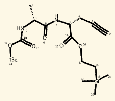 C#CC[C@@H](NC(=O)[C@@H](C)NC(=O)OC(C)(C)C)C(=O)OCC[Si](C)(C)C